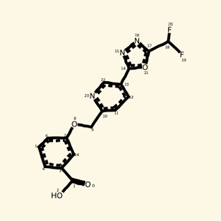 O=C(O)c1cccc(OCc2ccc(-c3nnc(C(F)F)o3)cn2)c1